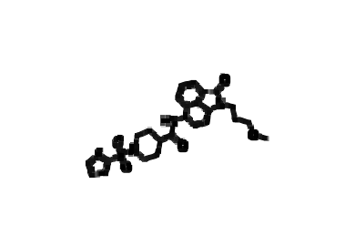 COCCCN1C(=O)c2cccc3c(NC(=O)C4CCN(S(=O)(=O)c5cccs5)CC4)ccc1c23